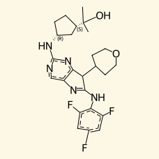 CC(C)(O)[C@H]1CC[C@@H](Nc2ncc3c(n2)C(C2CCOCC2)C(Nc2c(F)cc(F)cc2F)=N3)C1